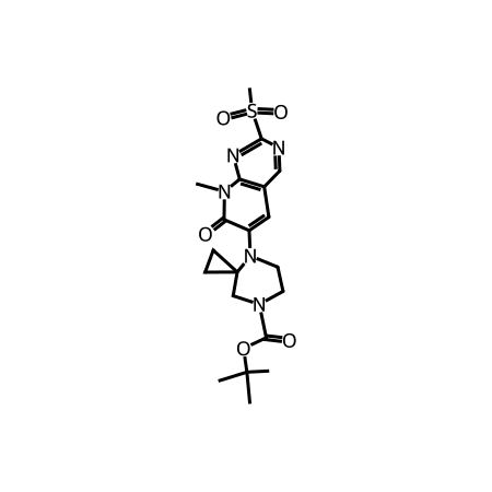 Cn1c(=O)c(N2CCN(C(=O)OC(C)(C)C)CC23CC3)cc2cnc(S(C)(=O)=O)nc21